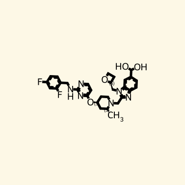 C[C@H]1C[C@@H](Oc2ccnc(NCc3ccc(F)cc3F)n2)CCN1Cc1nc2ccc(C(O)O)cc2n1C[C@@H]1CCO1